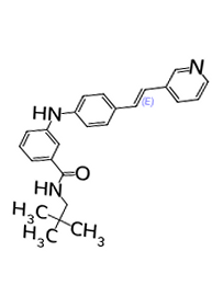 CC(C)(C)CNC(=O)c1cccc(Nc2ccc(/C=C/c3cccnc3)cc2)c1